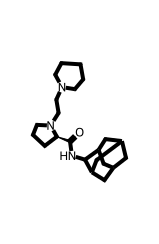 O=C(NC1C2CC3CC(C2)CC1C3)[C@H]1CCCN1CCN1CCCCC1